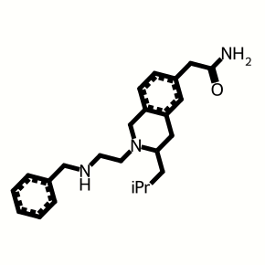 CC(C)CC1Cc2cc(CC(N)=O)ccc2CN1CCNCc1ccccc1